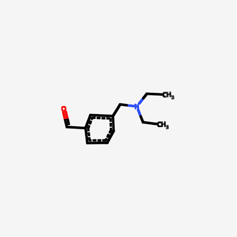 CCN(CC)Cc1cccc(C=O)c1